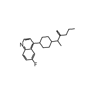 C=C(CCC)C(C)C1CCC(c2ccnc3ccc(F)cc23)CC1